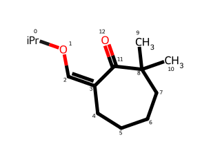 CC(C)OC=C1CCCCC(C)(C)C1=O